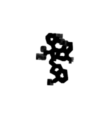 O=C(O)c1c(-c2ccc[nH]c2=O)c2c3occc3c(F)cc2n1CC1=Cc2cccc(Br)c2C1